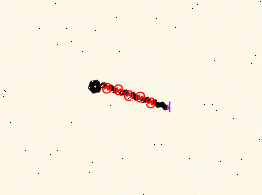 ICCCCOCCOCCOCCOCCOCc1ccccc1